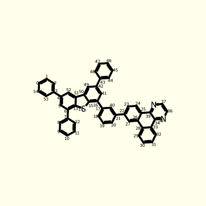 c1ccc(-c2cc(-c3ccccc3)c3sc4c(-c5cccc(-c6ccc7c(c6)c6ccccc6c6nccnc76)c5)cc(-c5ccccc5)cc4c3c2)cc1